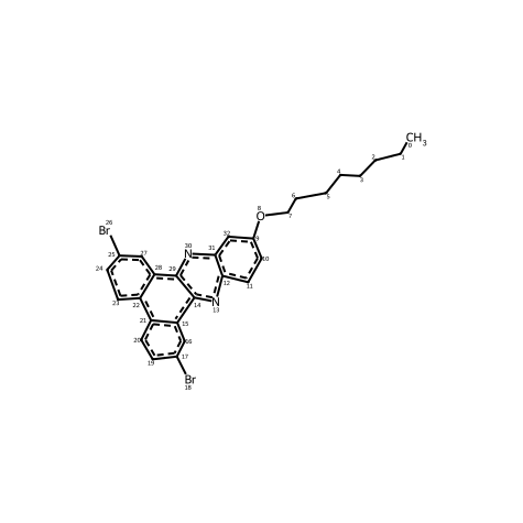 CCCCCCCCOc1ccc2nc3c4cc(Br)ccc4c4ccc(Br)cc4c3nc2c1